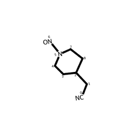 N#CCC1CCN(N=O)CC1